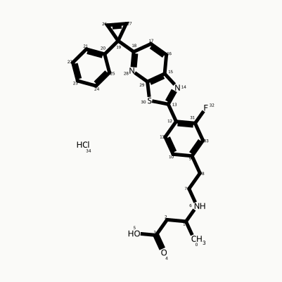 CC(CC(=O)O)NCCc1ccc(-c2nc3ccc(C4(c5ccccc5)C=C4)nc3s2)c(F)c1.Cl